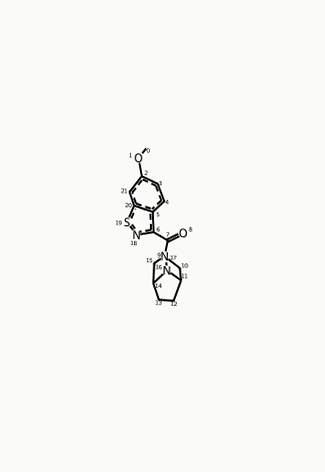 COc1ccc2c(C(=O)N3CC4CCC(C3)N4C)nsc2c1